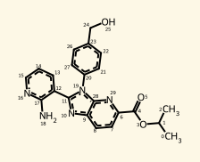 CC(C)OC(=O)c1ccc2nc(-c3cccnc3N)n(-c3ccc(CO)cc3)c2n1